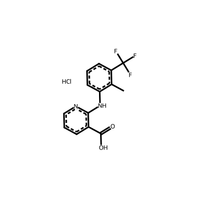 Cc1c(Nc2ncccc2C(=O)O)cccc1C(F)(F)F.Cl